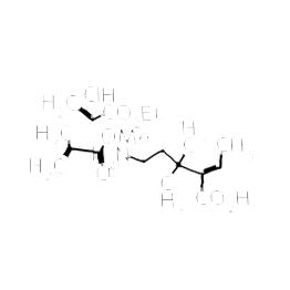 C=C(C)C(=O)OC.C=CC(=O)OCC.CC=C(C(=O)O)C(C)(C)CCN.Cl